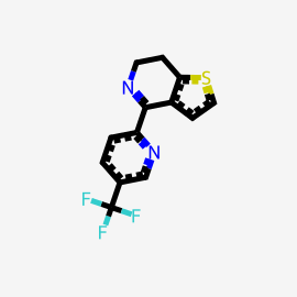 FC(F)(F)c1ccc(C2=NCCc3sccc32)nc1